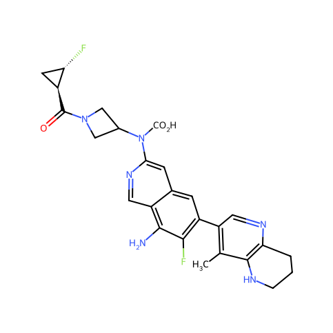 Cc1c(-c2cc3cc(N(C(=O)O)C4CN(C(=O)[C@H]5C[C@@H]5F)C4)ncc3c(N)c2F)cnc2c1NCCC2